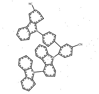 N#Cc1ccc(-n2c3ccccc3c3c(-n4c5ccccc5c5ccccc54)cccc32)c(-c2ccc(-n3c4ccccc4c4cc(C#N)ccc43)cc2)c1